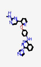 CNc1nccc(-c2cccnc2Oc2ccc(Nc3nnc(-n4ccnc4)c4ccccc34)cc2)n1